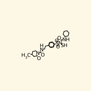 CC1CCN(C(=O)NCCc2ccc(S(=O)(=O)N(S)C(=O)NC3CCCCC3)cc2)C(=O)C1